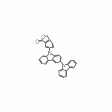 O=C1OCc2ccc(-n3c4ccccc4c4cc(-n5c6ccccc6c6ccccc65)ccc43)cc21